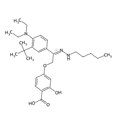 CCCCCN/N=C(\COc1ccc(C(=O)O)c(O)c1)c1ccc(N(CC)CC)c(C(C)(C)C)c1